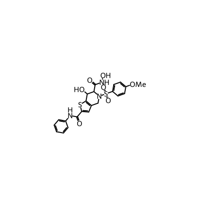 COc1ccc(S(=O)(=O)N2Cc3cc(C(=O)Nc4ccccc4)sc3C(O)C2C(=O)NO)cc1